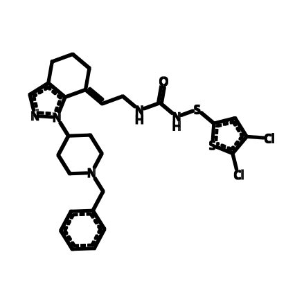 O=C(NC/C=C1\CCCc2cnn(C3CCN(Cc4ccccc4)CC3)c21)NSc1cc(Cl)c(Cl)s1